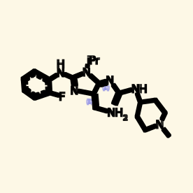 C=C(/N=C1\C(=C/N)N=C(Nc2ccccc2F)N1C(C)C)NC1CCN(C)CC1